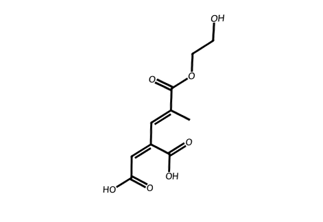 CC(=CC(=CC(=O)O)C(=O)O)C(=O)OCCO